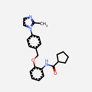 Cc1nccn1-c1ccc(COc2ccccc2NC(=O)C2CCCC2)cc1